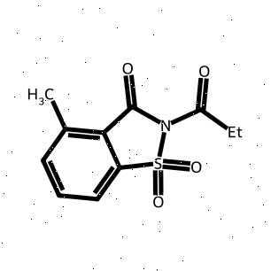 CCC(=O)N1C(=O)c2c(C)cccc2S1(=O)=O